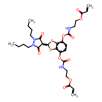 C=CC(=O)OCCNC(=O)Oc1ccc(OC(=O)NCCOC(=O)C=C)c2c1SC(=C1C(=O)N(CCCC)N(CCCC)C1=O)S2